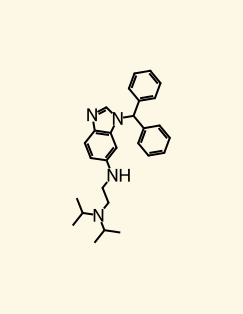 CC(C)N(CCNc1ccc2ncn(C(c3ccccc3)c3ccccc3)c2c1)C(C)C